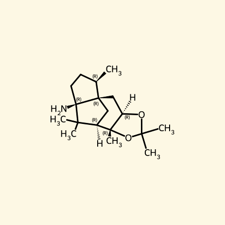 C[C@@H]1CC[C@@]2(N)C(C)(C)[C@H]3C[C@@]12C[C@H]1OC(C)(C)O[C@]31C